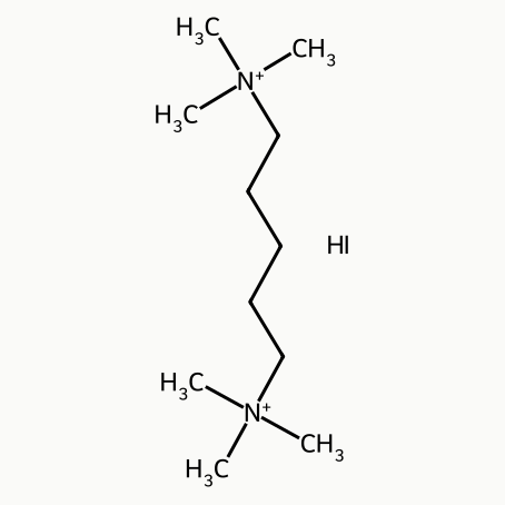 C[N+](C)(C)CCCCC[N+](C)(C)C.I